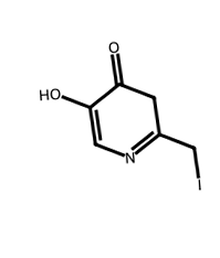 O=C1CC(CI)=NC=C1O